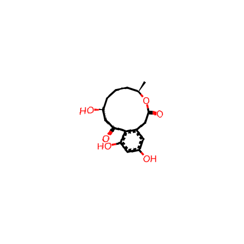 C[C@@H]1CCC[C@H](O)CC(=O)c2c(O)cc(O)cc2CC(=O)O1